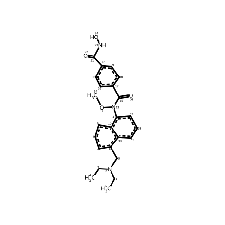 CCN(CC)Cc1cccc2c(N(OC)C(=O)c3ccc(C(=O)NO)cc3)cccc12